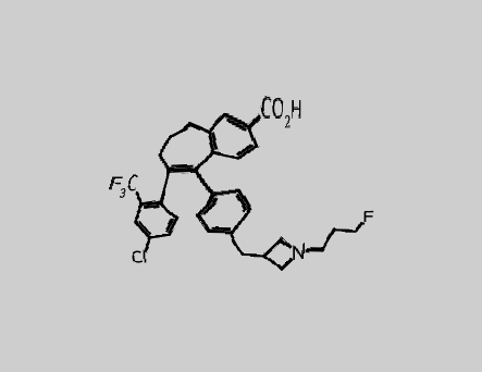 O=C(O)c1ccc2c(c1)CCCC(c1ccc(Cl)cc1C(F)(F)F)=C2c1ccc(CC2CN(CCCF)C2)cc1